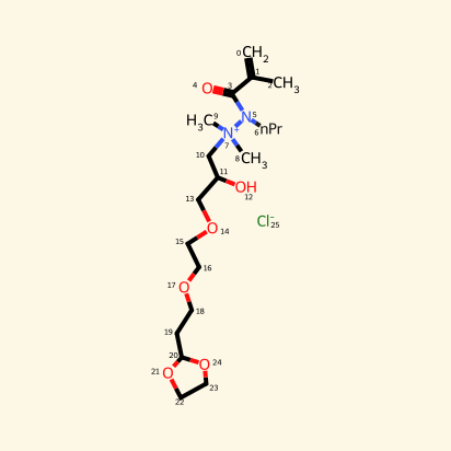 C=C(C)C(=O)N(CCC)[N+](C)(C)CC(O)COCCOCCC1OCCO1.[Cl-]